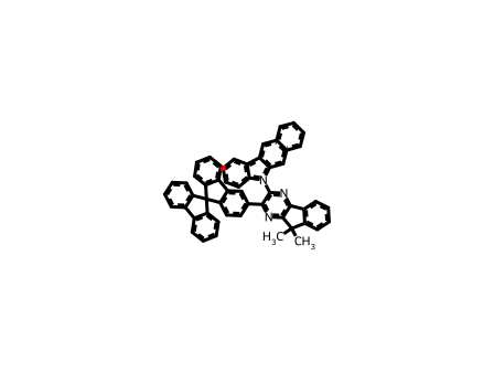 CC1(C)c2ccccc2-c2nc(-n3c4ccccc4c4cc5ccccc5cc43)c(-c3ccc4c(c3)-c3ccccc3C43c4ccccc4-c4ccccc43)nc21